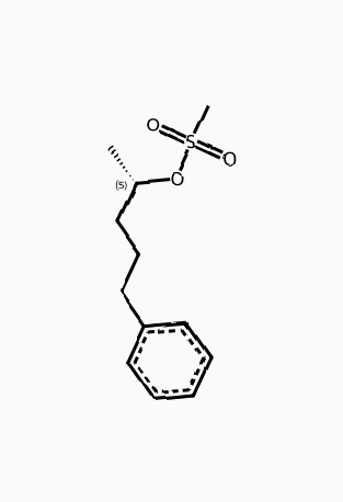 C[C@@H](CCCc1ccccc1)OS(C)(=O)=O